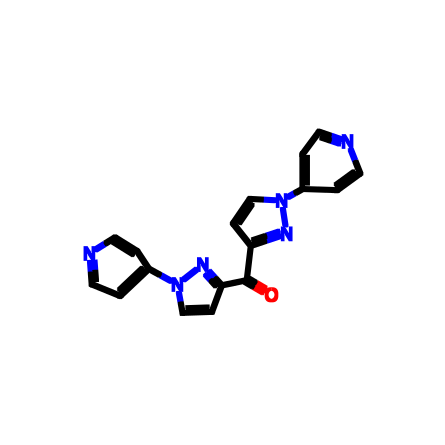 O=C(c1ccn(-c2ccncc2)n1)c1ccn(-c2ccncc2)n1